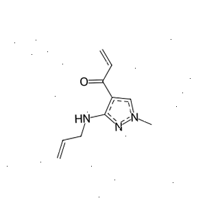 C=CCNc1nn(C)cc1C(=O)C=C